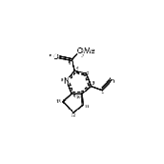 C=Cc1cc(C(=O)OC)nc2c1CCC2